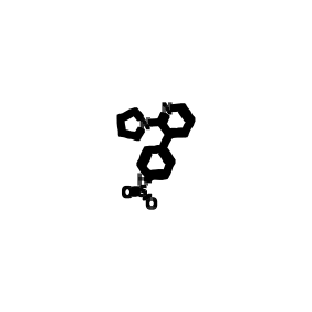 O=[SH](=O)c1ccc(-c2cccnc2N2CCCC2)cc1